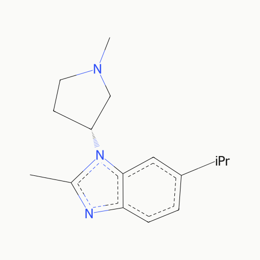 Cc1nc2ccc(C(C)C)cc2n1[C@@H]1CCN(C)C1